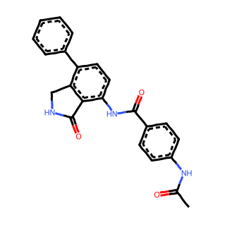 CC(=O)Nc1ccc(C(=O)Nc2ccc(-c3ccccc3)c3c2C(=O)NC3)cc1